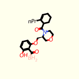 BC(=O)c1c(O)cccc1OC[C@@H]1COCCN1C(=O)C1CCCC=C1CCC